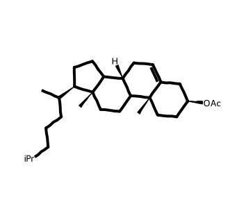 CC(=O)O[C@H]1CC[C@@]2(C)C(=CC[C@@H]3C2CC[C@@]2(C)C3CC[C@@H]2C(C)CCCC(C)C)C1